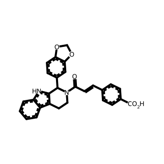 O=C(O)c1ccc(/C=C/C(=O)N2CCc3c([nH]c4ccccc34)C2c2ccc3c(c2)OCO3)cc1